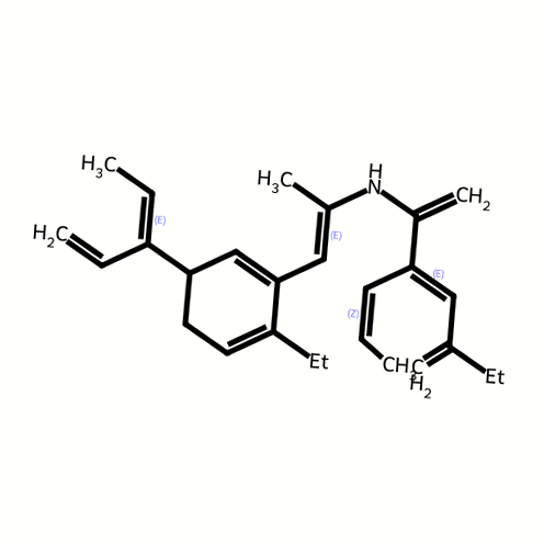 C=C/C(=C\C)C1C=C(/C=C(\C)NC(=C)C(/C=C\C)=C/C(=C)CC)C(CC)=CC1